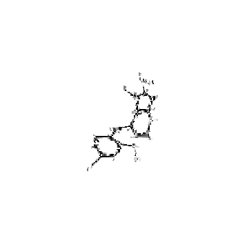 CC(C)Oc1cc(F)ccc1Nc1ncnc2cc(C(=O)O)n(C)c12